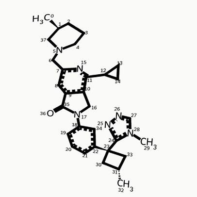 C[C@H]1CCCN(Cc2cc3c(c(C4CC4)n2)CN(c2cccc([C@]4(c5nncn5C)C[C@@H](C)C4)c2)C3=O)C1